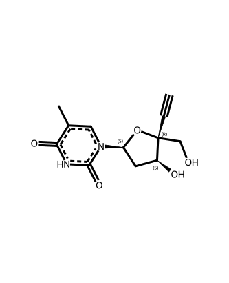 C#C[C@]1(CO)O[C@H](n2cc(C)c(=O)[nH]c2=O)C[C@@H]1O